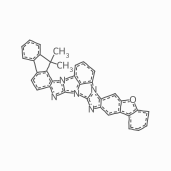 CC1(C)c2ccccc2-c2ccc3nc4n(c5cccc6c5n4c4nc5cc7c(cc5n64)oc4ccccc47)c3c21